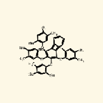 Cc1cc(Oc2c(Oc3cc(C)c(C(C)(C)C)cc3C(C)(C)C)c(Oc3cc(C)c(C(C)(C)C)cc3C(C)(C)C)c3c(c2Oc2cc(C)c(C(C)(C)C)cc2C(C)(C)C)=c2ccccc2=3)c(C(C)(C)C)cc1C(C)(C)C